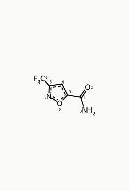 NC(=O)c1cc(C(F)(F)F)no1